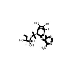 CC[C@](C)(O)P(=O)(O)OC(C)(C)[C@H]1c2nc3c(N)ncnc3n2[C@@H]2OC1[C@@H](O)[C@H]2O